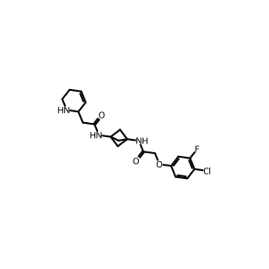 O=C(COc1ccc(Cl)c(F)c1)NC12CC(NC(=O)CC3C=CCCN3)(C1)C2